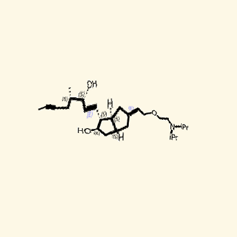 CC#CC[C@H](C)[C@H](O)/C=C/[C@@H]1[C@H]2C/C(=C/COCCN(C(C)C)C(C)C)C[C@H]2C[C@H]1O